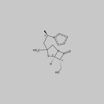 C[C@H](CC1(C(=O)O)CN2C(=O)[C@H](CO)[C@H]2S1)n1cccc1